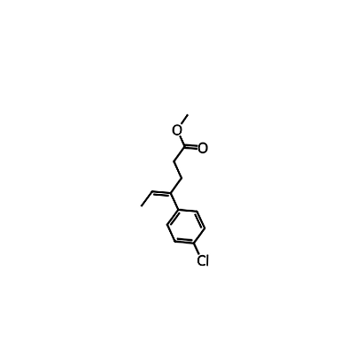 C/C=C(/CCC(=O)OC)c1ccc(Cl)cc1